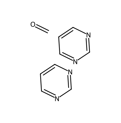 C=O.c1cncnc1.c1cncnc1